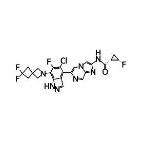 O=C(Nc1cn2cc(-c3c(Cl)c(F)c(N4CC5(C4)CC(F)(F)C5)c4[nH]ncc34)ncc2n1)[C@@H]1C[C@@H]1F